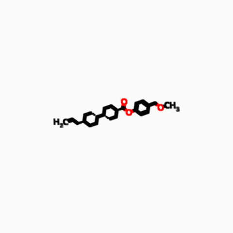 C=CC[C@H]1CC[C@H]([C@H]2CC[C@H](C(=O)Oc3ccc(COC)cc3)CC2)CC1